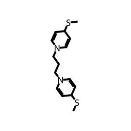 CSC1C=CN(CCCN2C=CC(SC)C=C2)C=C1